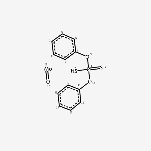 S=P(S)(Oc1ccccc1)Oc1ccccc1.[O]=[Mo]